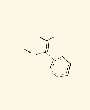 CC(=C(O[SiH3])c1ccccn1)C(C)C